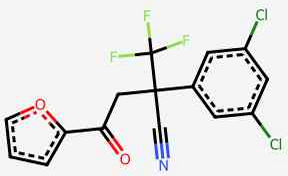 N#CC(CC(=O)c1ccco1)(c1cc(Cl)cc(Cl)c1)C(F)(F)F